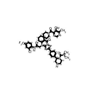 Cc1ncnc(C(=O)N2CCC3(CCCc4c3c(=O)n3nc(-c5ccc(C6CNCCN6C(=O)N(C)C)cc5)nc3n4CC(=O)Nc3ccc(C(F)(F)F)cc3Cl)CC2)c1O